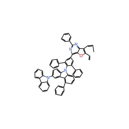 C=Cc1oc2c(-c3cc(-c4ccccc4)c(-n4c5ccc(-n6c7ccccc7c7ccccc76)cc5c5c(-c6ccccc6)cccc54)c(-c4ccccc4)c3)nc(-c3ccccc3)nc2c1/C=C\C